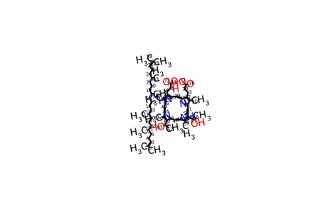 CC(C)=CCC/C(C)=C/CC/C(C)=C/CC/C=C(\C)CC/C=C(\C)CCC=C(C)C.CC1=C(CCC(=O)O)c2cc3[nH]c(cc4nc(cc5[nH]c(cc1n2)c(C(C)O)c5C)C(C(C)O)=C4C)c(C)c3CCC(=O)O